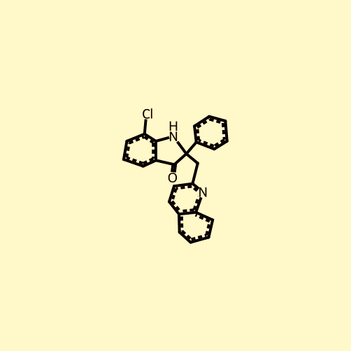 O=C1c2cccc(Cl)c2NC1(Cc1ccc2ccccc2n1)c1ccccc1